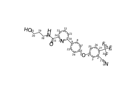 N#Cc1cc(Oc2ccc(-c3cccc(C(=O)NCCCO)n3)cc2)ccc1C(F)(F)F